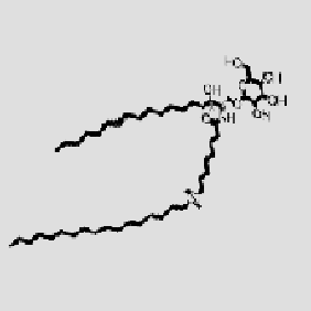 CCCCCCCCCCCCCCCCCS(C)(C)CCCCCCCC(=O)N[C@@H](COC1OC(CO)C(O)C(O)C1O)[C@H](O)CCCCCCCCCCCCCCC